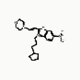 O=[N+]([O-])c1ccc2c(c1)oc(/C=C/N1CCOCC1)[n+]2CCCC1CCCC1